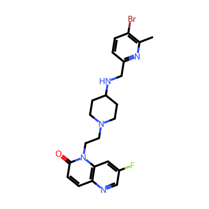 Cc1nc(CNC2CCN(CCn3c(=O)ccc4ncc(F)cc43)CC2)ccc1Br